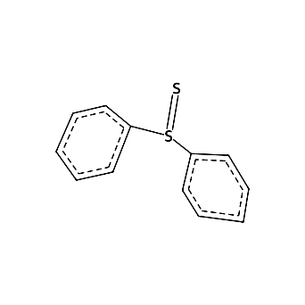 S=S(c1ccccc1)c1ccccc1